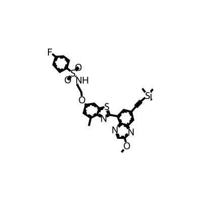 COc1cnc2c(-c3nc4c(C)cc(OCCNS(=O)(=O)c5ccc(F)cc5)cc4s3)cc(C#C[Si](C)(C)C)cc2n1